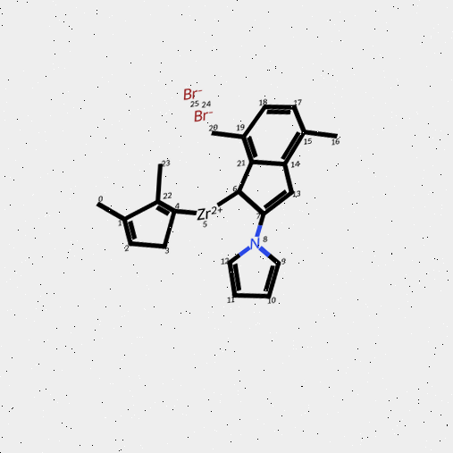 CC1=CC[C]([Zr+2][CH]2C(n3cccc3)=Cc3c(C)ccc(C)c32)=C1C.[Br-].[Br-]